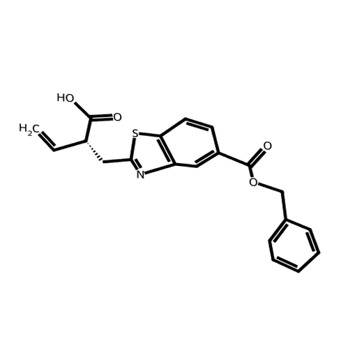 C=C[C@@H](Cc1nc2cc(C(=O)OCc3ccccc3)ccc2s1)C(=O)O